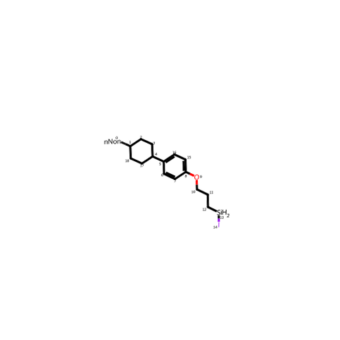 CCCCCCCCCC1CCC(c2ccc(OCCC[SiH2]I)cc2)CC1